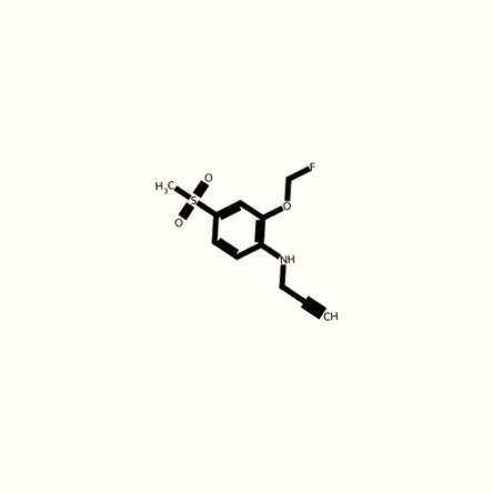 C#CCNc1ccc(S(C)(=O)=O)cc1OCF